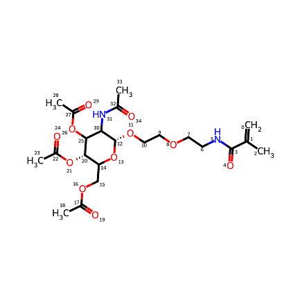 C=C(C)C(=O)NCCOCCO[C@@H]1OC(COC(C)=O)[C@H](OC(C)=O)C(OC(C)=O)C1NC(C)=O